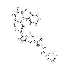 CC(Oc1ccc(-n2cnc3cc(C(=O)NCCN4CCOCC4)ccc32)cc1)C(C)Oc1ccccn1